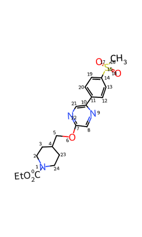 CCOC(=O)N1CCC(COc2cnc(-c3ccc(S(C)(=O)=O)cc3)cn2)CC1